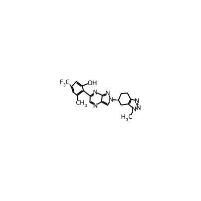 Cc1cc(C(F)(F)F)cc(O)c1-c1cnc2cn([C@H]3CCc4nnn(C)c4C3)nc2n1